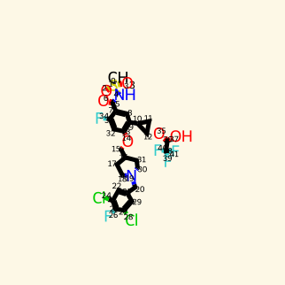 CS(=O)(=O)NC(=O)c1cc(C2CC2)c(OCC2CCN(Cc3cc(Cl)c(F)c(Cl)c3)CC2)cc1F.O=C(O)C(F)(F)F